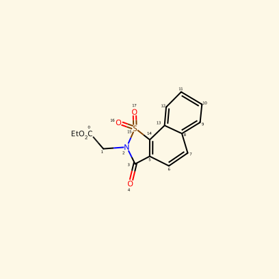 CCOC(=O)CN1C(=O)c2ccc3ccccc3c2S1(=O)=O